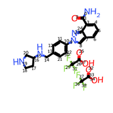 NC(=O)c1cccc2cn(-c3ccc(CNC4CCNC4)cc3)nc12.O=C(O)C(F)(F)F.O=C(O)C(F)(F)F